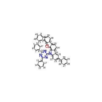 c1ccc(-c2cccc(-c3nc(-c4ccccc4)nc(-n4c5ccc(-c6ccccc6)cc5c5ccc6c7ccccc7oc6c54)n3)c2)cc1